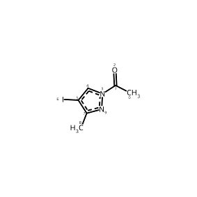 CC(=O)n1cc(I)c(C)n1